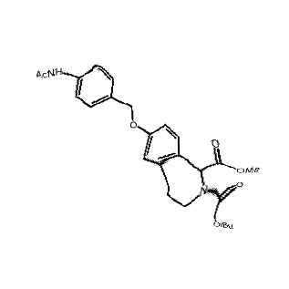 COC(=O)C1c2ccc(OCc3ccc(NC(C)=O)cc3)cc2CCN1C(=O)OCC(C)C